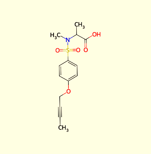 CC#CCOc1ccc(S(=O)(=O)N(C)C(C)C(=O)O)cc1